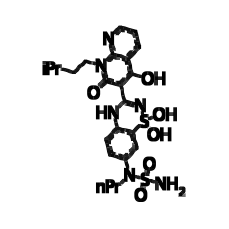 CCCN(c1ccc2c(c1)S(O)(O)N=C(c1c(O)c3cccnc3n(CCC(C)C)c1=O)N2)S(N)(=O)=O